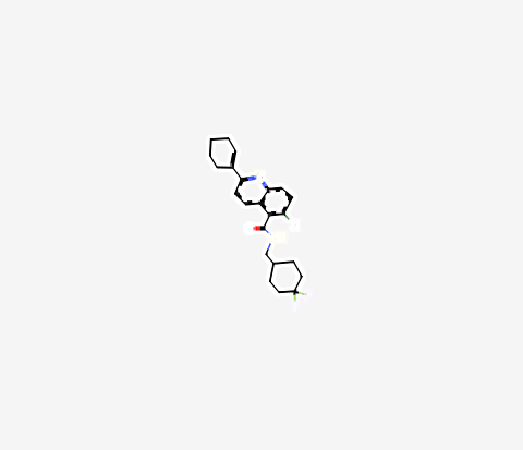 O=C(NCC1CCC(F)(F)CC1)c1c(Cl)ccc2nc(C3=CCCCC3)ccc12